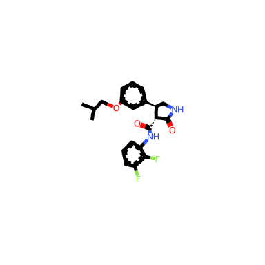 CC(C)COc1cccc([C@H]2CNC(=O)[C@@H]2C(=O)Nc2cccc(F)c2F)c1